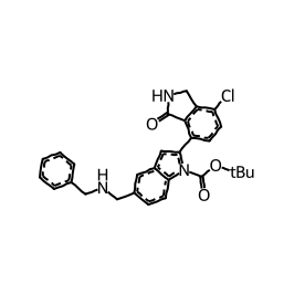 CC(C)(C)OC(=O)n1c(-c2ccc(Cl)c3c2C(=O)NC3)cc2cc(CNCc3ccccc3)ccc21